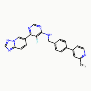 Cc1cc(-c2ccc(CNc3ncnc(-c4ccc5ncnn5c4)c3F)cc2)ccn1